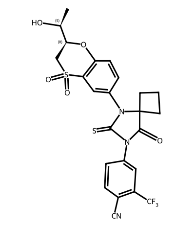 C[C@H](O)[C@@H]1CS(=O)(=O)c2cc(N3C(=S)N(c4ccc(C#N)c(C(F)(F)F)c4)C(=O)C34CCC4)ccc2O1